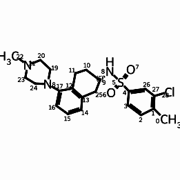 Cc1ccc(S(=O)(=O)N[C@H]2CCc3c(cccc3N3CCN(C)CC3)C2)cc1Cl